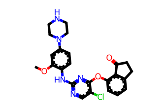 COc1cc(N2CCNCC2)ccc1Nc1ncc(Cl)c(Oc2cccc3c2C(=O)CC3)n1